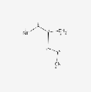 [CH2]C(CC#N)CCC#N